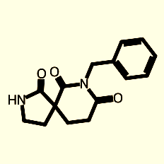 O=C1CCC2(CCNC2=O)C(=O)N1Cc1ccccc1